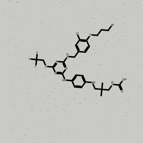 CC(C)(CNC(=O)O)CNc1ccc(Nc2nc(NCc3ccc(OCCCBr)c(Cl)c3)nc(OCC(F)(F)F)n2)cc1